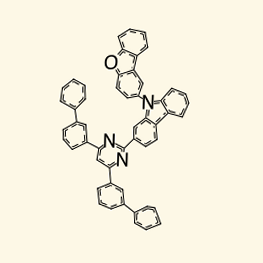 c1ccc(-c2cccc(-c3cc(-c4cccc(-c5ccccc5)c4)nc(-c4ccc5c6ccccc6n(-c6ccc7oc8ccccc8c7c6)c5c4)n3)c2)cc1